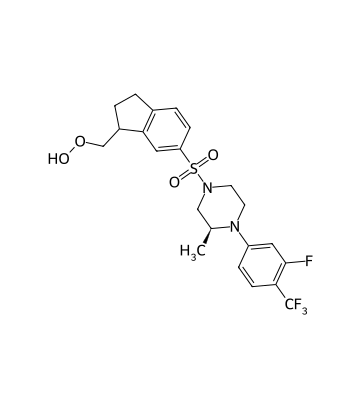 C[C@H]1CN(S(=O)(=O)c2ccc3c(c2)C(COO)CC3)CCN1c1ccc(C(F)(F)F)c(F)c1